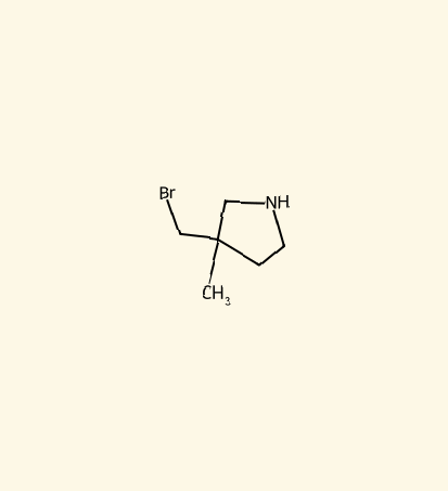 CC1(CBr)CCNC1